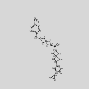 O=C(N1CC2(CC(Oc3ccc(C(F)(F)F)cn3)C2)C1)N1CC2(CC(n3cnc(C4CC4)n3)C2)C1